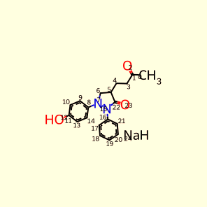 CC(=O)CCC1CN(c2ccc(O)cc2)N(c2ccccc2)C1=O.[NaH]